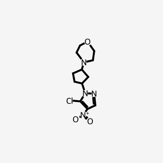 O=[N+]([O-])c1cnn(C2CCC(N3CCOCC3)C2)c1Cl